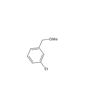 [CH2]Cc1cccc(COC)c1